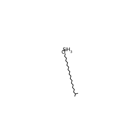 CC(C)CCCCCCCCCCCCCCCCCCO[SiH3]